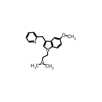 COc1ccc2c(c1)c(Cc1ccccn1)cn2CCN(C)C